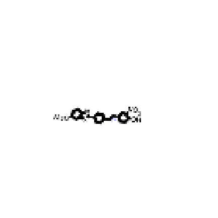 COc1ccc2nc(-c3ccc(/C=C/c4ccc(O)c([N+](=O)[O-])c4)cc3)sc2c1